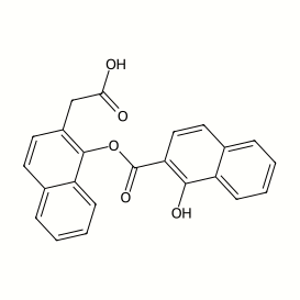 O=C(O)Cc1ccc2ccccc2c1OC(=O)c1ccc2ccccc2c1O